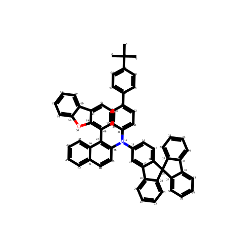 CC(C)(C)c1ccc(-c2ccc(N(c3ccc4c(c3)-c3ccccc3C43c4ccccc4-c4ccccc43)c3ccc4ccccc4c3-c3cccc4c3oc3ccccc34)cc2)cc1